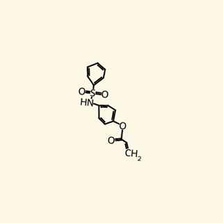 C=CC(=O)Oc1ccc(NS(=O)(=O)c2ccccc2)cc1